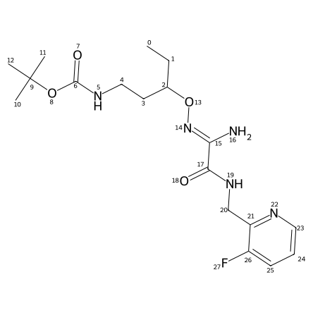 CCC(CCNC(=O)OC(C)(C)C)O/N=C(\N)C(=O)NCc1ncccc1F